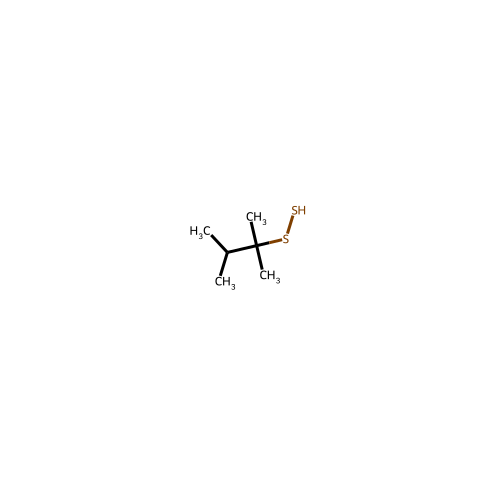 CC(C)C(C)(C)SS